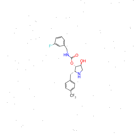 O=C(NCc1cccc(F)c1)O[C@@H]1[C@@H](O)CN[C@@H]1Cc1ccc(C(F)(F)F)cc1